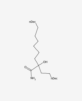 CCCCCCCCCCCCCCCCC(O)(CCCCCCCCCCCC)C(N)=O